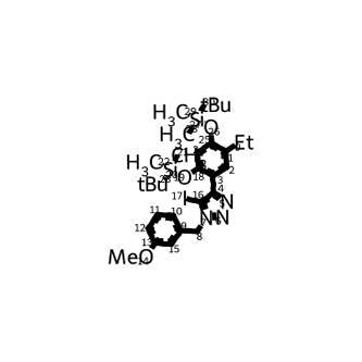 CCc1cc(-c2nnn(Cc3cccc(OC)c3)c2I)c(O[Si](C)(C)C(C)(C)C)cc1O[Si](C)(C)C(C)(C)C